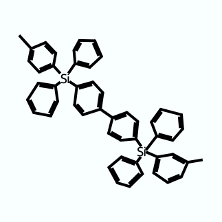 Cc1ccc([Si](c2ccccc2)(c2ccccc2)c2ccc(-c3ccc([Si](c4ccccc4)(c4ccccc4)c4cccc(C)c4)cc3)cc2)cc1